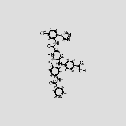 O=C(Nc1cc(Cl)ccc1-n1cnnn1)C(=O)N[C@@H](Cc1ccc(NC(=O)c2ccncc2)cc1)C(=O)Nc1ccc(C(=O)O)cc1